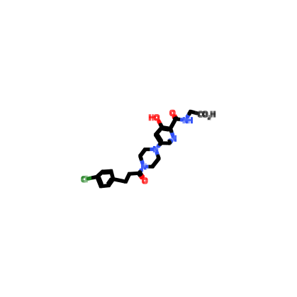 O=C(O)CNC(=O)c1ncc(N2CCN(C(=O)CCc3ccc(Cl)cc3)CC2)cc1O